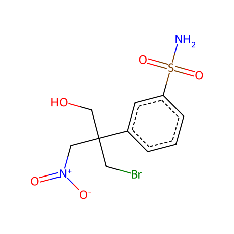 NS(=O)(=O)c1cccc(C(CO)(CBr)C[N+](=O)[O-])c1